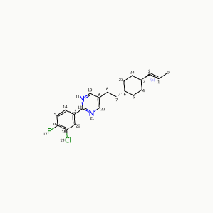 C/C=C/[C@H]1CC[C@H](CCc2cnc(-c3ccc(F)c(Cl)c3)nc2)CC1